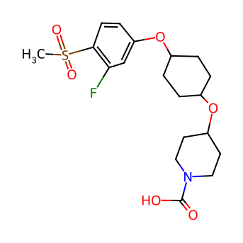 CS(=O)(=O)c1ccc(OC2CCC(OC3CCN(C(=O)O)CC3)CC2)cc1F